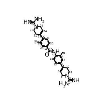 Cc1cc(C2=CCN(C(=N)N)CC2)ccc1NC(=O)c1ccc(C2=CCN(C(=N)N)CC2)c(F)c1